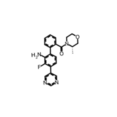 C[C@H]1COCCN1C(=O)c1ccccc1-c1ccc(-c2cncnc2)c(F)c1N